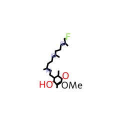 COC1=C(C)C(O)C(C/C=C(\C)CC/C=C(\C)CC/C=C(\C)CF)C(C)C1=O